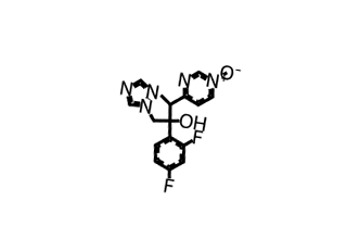 CC(c1cc[n+]([O-])cn1)C(O)(Cn1cncn1)c1ccc(F)cc1F